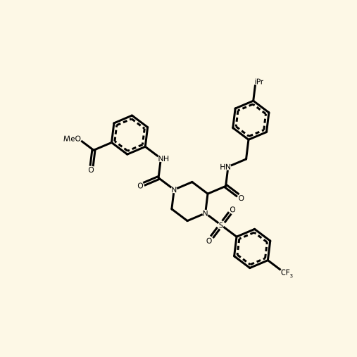 COC(=O)c1cccc(NC(=O)N2CCN(S(=O)(=O)c3ccc(C(F)(F)F)cc3)C(C(=O)NCc3ccc(C(C)C)cc3)C2)c1